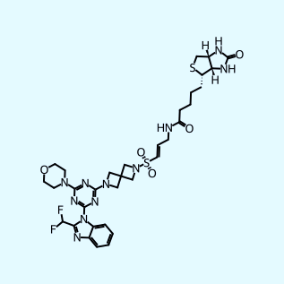 O=C(CCCC[C@@H]1SC[C@@H]2NC(=O)N[C@@H]21)NC/C=C/S(=O)(=O)N1CC2(CN(c3nc(N4CCOCC4)nc(-n4c(C(F)F)nc5ccccc54)n3)C2)C1